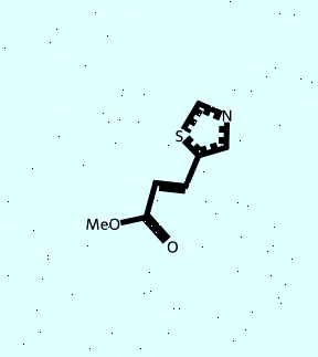 COC(=O)C=Cc1cncs1